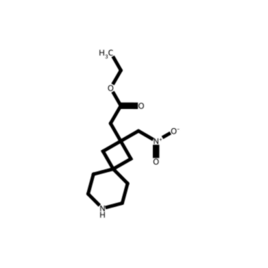 CCOC(=O)CC1(C[N+](=O)[O-])CC2(CCNCC2)C1